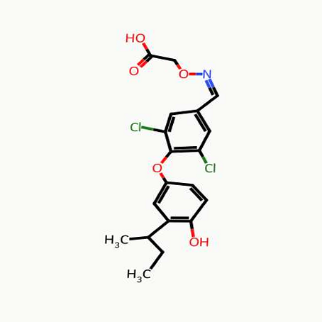 CCC(C)c1cc(Oc2c(Cl)cc(/C=N\OCC(=O)O)cc2Cl)ccc1O